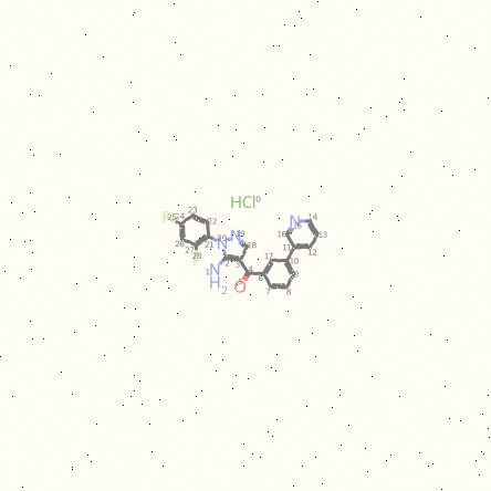 Cl.Nc1c(C(=O)c2cccc(-c3cccnc3)c2)cnn1-c1ccc(F)cc1F